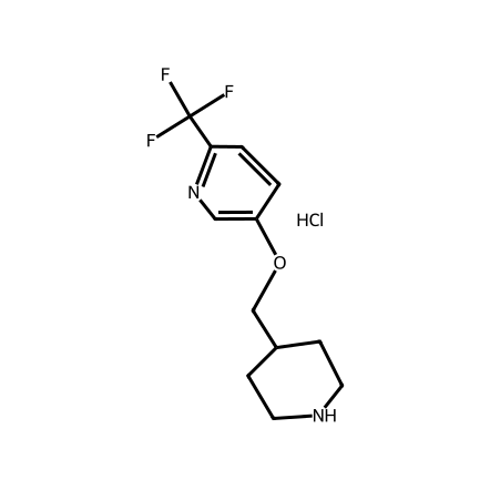 Cl.FC(F)(F)c1ccc(OCC2CCNCC2)cn1